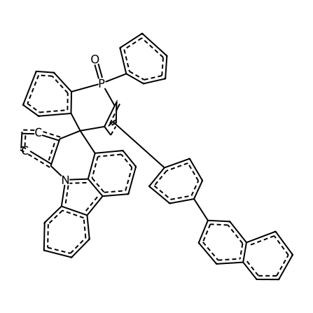 O=P1(c2ccccc2)c2ccccc2C2(c3ccccc3-n3c4ccccc4c4cccc2c43)c2cc(-c3ccc(-c4ccc5ccccc5c4)cc3)ccc21